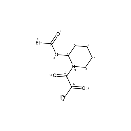 CCC(=O)OC1CCCCN1C(=O)C(=O)C(C)C